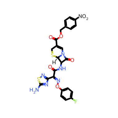 Nc1nc(C(=NOc2ccc(F)cc2)C(=O)NC2C(=O)N3C=C(C(=O)OCc4ccc([N+](=O)[O-])cc4)CS[C@H]23)ns1